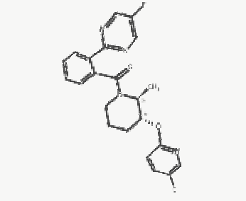 C[C@H]1[C@H](Oc2ccc(Cl)cn2)CCCN1C(=O)c1ccccc1-c1ncc(F)cn1